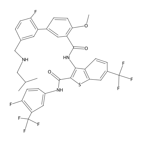 COc1ccc(-c2cc(CNCC(C)C)ccc2F)cc1C(=O)Nc1c(C(=O)Nc2ccc(F)c(C(F)(F)F)c2)sc2cc(C(F)(F)F)ccc12